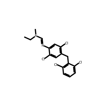 CCN(C)C=Nc1cc(Cl)c(Cc2c(Cl)cccc2Cl)cc1Cl